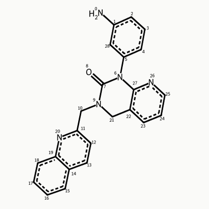 Nc1cccc(N2C(=O)N(Cc3ccc4ccccc4n3)Cc3cccnc32)c1